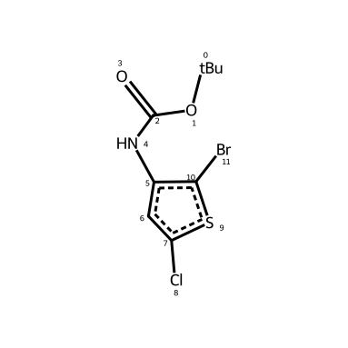 CC(C)(C)OC(=O)Nc1cc(Cl)sc1Br